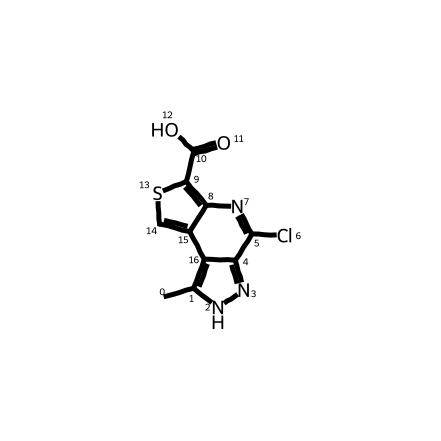 Cc1[nH]nc2c(Cl)nc3c(C(=O)O)scc3c12